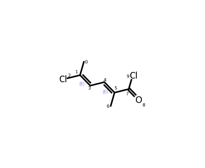 C/C(Cl)=C\C=C(/C)C(=O)Cl